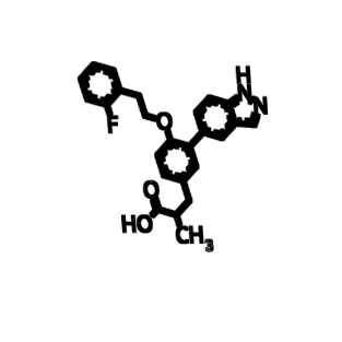 CC(Cc1ccc(OCCc2ccccc2F)c(-c2ccc3[nH]ncc3c2)c1)C(=O)O